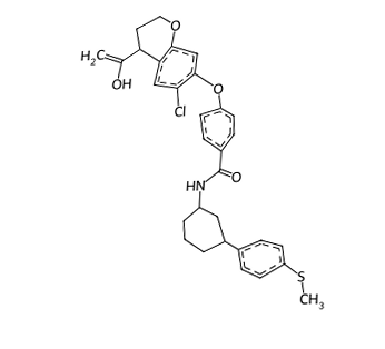 C=C(O)C1CCOc2cc(Oc3ccc(C(=O)NC4CCCC(c5ccc(SC)cc5)C4)cc3)c(Cl)cc21